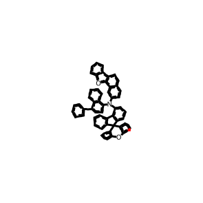 c1ccc(-c2ccc(N(c3ccc4ccc5c6ccccc6oc5c4c3)c3cccc4c3-c3ccccc3C43c4ccccc4Oc4ccccc43)c3ccccc23)cc1